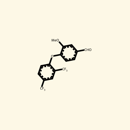 COc1cc(C=O)ccc1Oc1ccc(C(F)(F)F)cc1C(F)(F)F